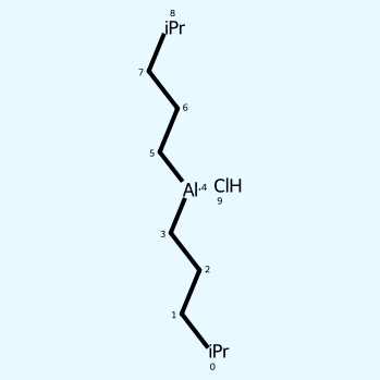 CC(C)CC[CH2][Al][CH2]CCC(C)C.Cl